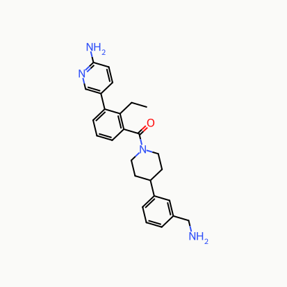 CCc1c(C(=O)N2CCC(c3cccc(CN)c3)CC2)cccc1-c1ccc(N)nc1